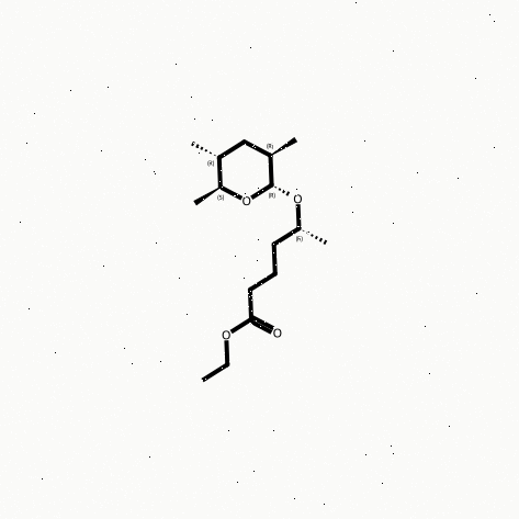 CCOC(=O)CCC[C@@H](C)O[C@@H]1O[C@@H](C)[C@H](C)C[C@H]1C